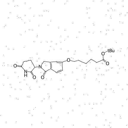 CC(C)(C)OC(=O)CCCCCOc1ccc2c(c1)CN(C1CCC(=O)NC1=O)C2=O